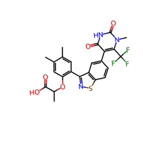 Cc1cc(OC(C)C(=O)O)c(-c2nsc3ccc(-c4c(C(F)(F)F)n(C)c(=O)[nH]c4=O)cc23)cc1C